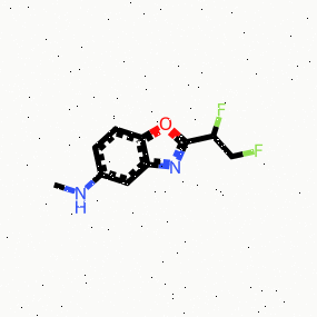 CNc1ccc2oc(C(F)CF)nc2c1